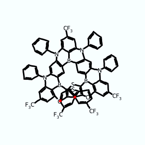 FC(F)(F)c1cc2c3c(c1)N(c1ccccc1)c1cc4c(cc1B3c1sc3ccc(C(F)(F)F)cc3c1O2)B1c2cc3c(cc2N(c2ccccc2)c2cc(C(F)(F)F)cc(c21)N4c1ccccc1)N(c1ccccc1)c1cc(C(F)(F)F)cc2c1B3c1sc3ccc(C(F)(F)F)cc3c1O2